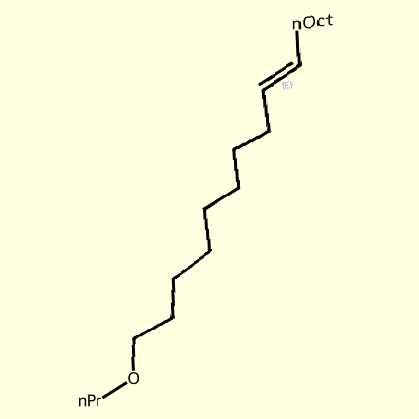 CCCCCCCC/C=C/CCCCCCCCOCCC